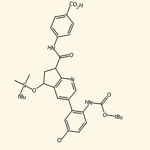 CC(C)(C)OC(=O)Nc1ccc(Cl)cc1-c1cnc2c(c1)C(O[Si](C)(C)C(C)(C)C)CC2C(=O)Nc1ccc(C(=O)O)cc1